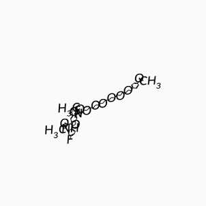 CNC(=O)c1c(-c2ccc(F)cc2)oc2cc(N(CCOCCOCCOCCOCCOCCOCc3ccc(C(C)=O)cc3)S(C)(=O)=O)c(C3CC3)cc12